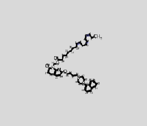 CC/C=C\C/C=C\C/C=C\CCCCCCCC(=O)OCN1C(=O)CCc2ccc(OCCCCN3CCN(c4cccc5ccccc45)CC3)nc21